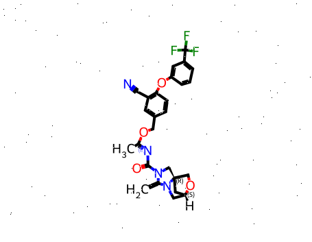 C=C1N(C(=O)/N=C(\C)OCc2ccc(Oc3cccc(C(F)(F)F)c3)c(C#N)c2)C[C@]23CO[C@H](CN12)C3